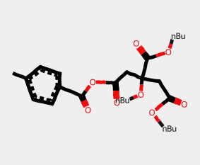 CCCCOC(=O)CC(CC(=O)OC(=O)c1ccc(C)cc1)(OCCCC)C(=O)OCCCC